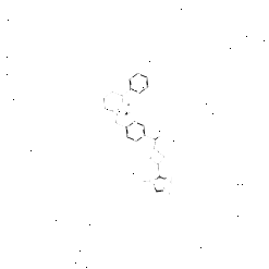 C[C@H]1CCC(c2ccccc2)S(=O)(=O)N1Cc1ccc(C(=O)N2CC(c3nncn3C)C2)cc1